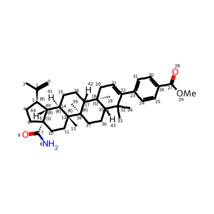 C=C(C)[C@@H]1CC[C@]2(C(N)=O)CC[C@]3(C)[C@H](CC[C@@H]4[C@@]5(C)CC=C(c6ccc(C(=O)OC)cc6)C(C)(C)[C@@H]5CC[C@]43C)[C@@H]12